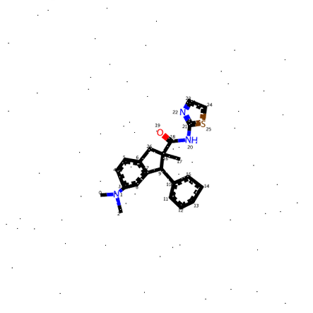 CN(C)c1ccc2c(c1)C(c1ccccc1)C(C)(C(=O)Nc1nccs1)C2